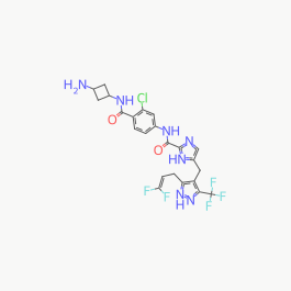 NC1CC(NC(=O)c2ccc(NC(=O)c3ncc(Cc4c(C(F)(F)F)n[nH]c4CC=C(F)F)[nH]3)cc2Cl)C1